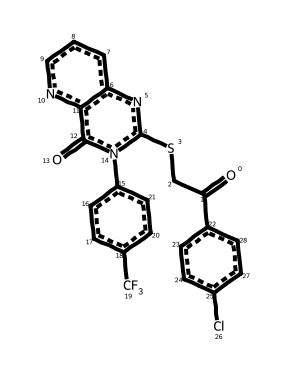 O=C(CSc1nc2cccnc2c(=O)n1-c1ccc(C(F)(F)F)cc1)c1ccc(Cl)cc1